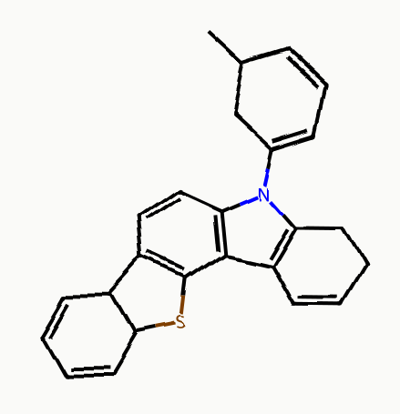 CC1C=CC=C(n2c3c(c4c5c(ccc42)C2C=CC=CC2S5)C=CCC3)C1